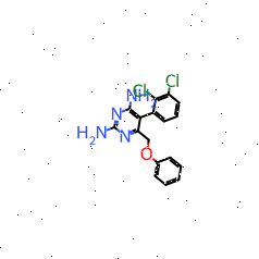 Nc1nc(N)c(-c2cccc(Cl)c2Cl)c(COc2ccccc2)n1